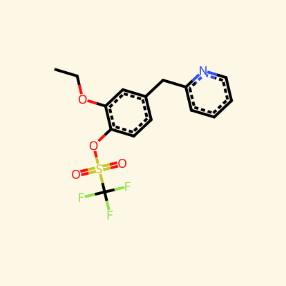 CCOc1cc(Cc2ccccn2)ccc1OS(=O)(=O)C(F)(F)F